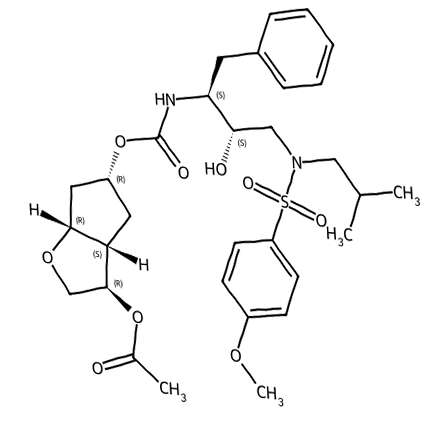 COc1ccc(S(=O)(=O)N(CC(C)C)C[C@H](O)[C@H](Cc2ccccc2)NC(=O)O[C@@H]2C[C@@H]3[C@@H](OC(C)=O)CO[C@@H]3C2)cc1